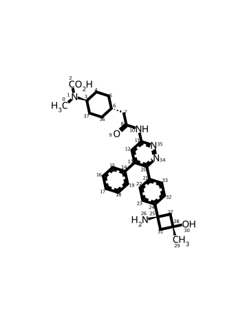 CN(C(=O)O)[C@H]1CC[C@H](CC(=O)Nc2cc(-c3ccccc3)c(-c3ccc([C@]4(N)C[C@](C)(O)C4)cc3)nn2)CC1